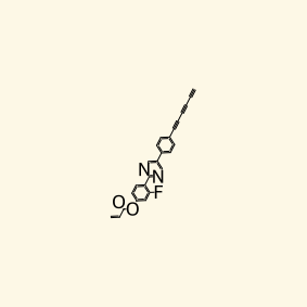 C#CC#CC#Cc1ccc(-c2cnc(-c3ccc(OC(=O)C=C)cc3F)nc2)cc1